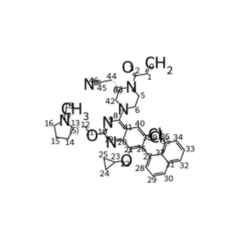 C=CC(=O)N1CCN(c2nc(OC[C@@H]3CCCN3C)nc3c(OC4CC4)c(-c4cccc5cccc(Cl)c45)c(Cl)cc23)C[C@@H]1CC#N